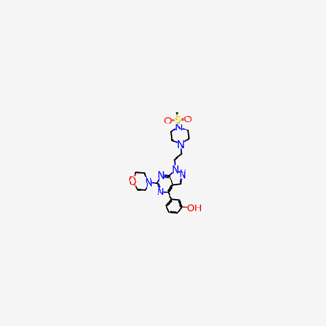 CS(=O)(=O)N1CCN(CCn2ncc3c(-c4cccc(O)c4)nc(N4CCOCC4)nc32)CC1